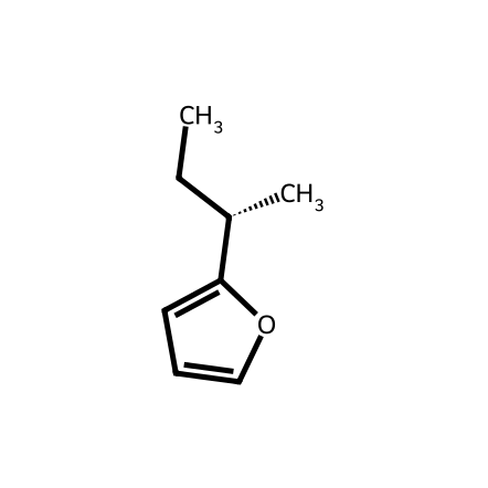 CC[C@H](C)c1ccco1